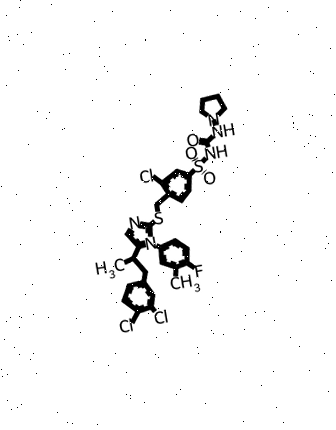 Cc1cc(-n2c(C(C)Cc3ccc(Cl)c(Cl)c3)cnc2SCc2ccc(S(=O)(=O)NC(=O)NN3CCCC3)cc2Cl)ccc1F